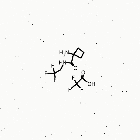 NC1(C(=O)NCC(F)(F)F)CCC1.O=C(O)C(F)(F)F